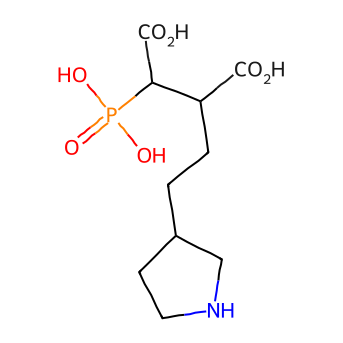 O=C(O)C(CCC1CCNC1)C(C(=O)O)P(=O)(O)O